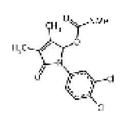 CNC(=O)OC1C(C)=C(C)C(=O)N1c1ccc(Cl)c(Cl)c1